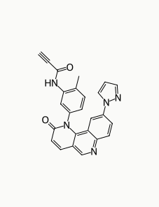 C#CC(=O)Nc1cc(-n2c(=O)ccc3cnc4ccc(-n5cccn5)cc4c32)ccc1C